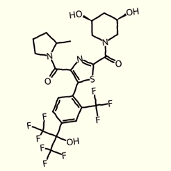 CC1CCCN1C(=O)c1nc(C(=O)N2C[C@H](O)C[C@H](O)C2)sc1-c1ccc(C(O)(C(F)(F)F)C(F)(F)F)cc1C(F)(F)F